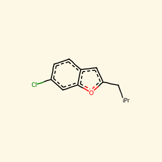 CC(C)Cc1cc2ccc(Cl)cc2o1